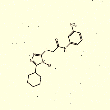 CCn1c(SCC(=O)Nc2cccc([N+](=O)[O-])c2)nnc1C1CCCCC1